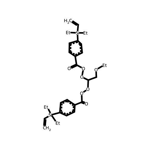 [CH2]COC[C](OOC(=O)c1ccc([Si](C=C)(CC)CC)cc1)OOC(=O)c1ccc([Si](C=C)(CC)CC)cc1